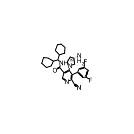 N#Cc1ncc(C(=O)NC(C2CCCCC2)C2CCCCC2)c(N2CC[C@H](N)C2)c1-c1cc(F)cc(F)c1